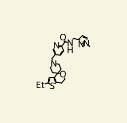 CCc1cc2c(s1)CCOC21CCN(Cc2ccc(C(=O)NCc3ccn(C)n3)nc2)CC1